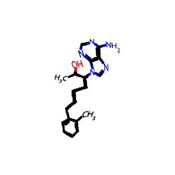 Cc1ccccc1CCCCC(C(C)O)n1cnc2c(N)ncnc21